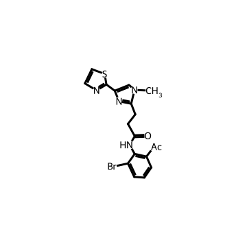 CC(=O)c1cccc(Br)c1NC(=O)CCc1nc(-c2nccs2)cn1C